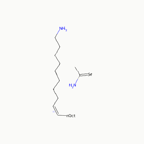 CC(N)=[Se].CCCCCCCC/C=C\CCCCCCCCN